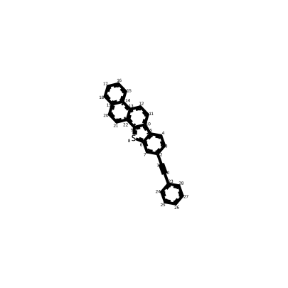 C(#Cc1ccc2c(c1)sc1c2ccc2c3ccccc3ccc21)c1ccccc1